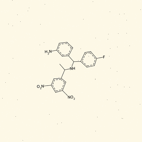 CC(NC(c1ccc(F)cc1)c1cccc(N)c1)c1cc([N+](=O)[O-])cc([N+](=O)[O-])c1